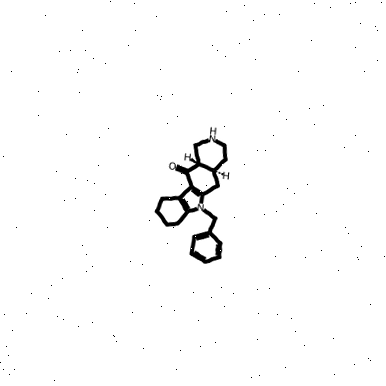 O=C1c2c3c(n(Cc4ccccc4)c2C[C@@H]2CCNC[C@@H]12)CCCC3